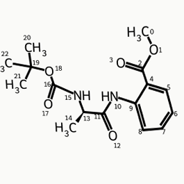 COC(=O)c1ccccc1NC(=O)[C@@H](C)NC(=O)OC(C)(C)C